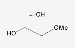 CO.COCCO